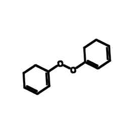 C1=CCCC(OOC2=CC=CCC2)=C1